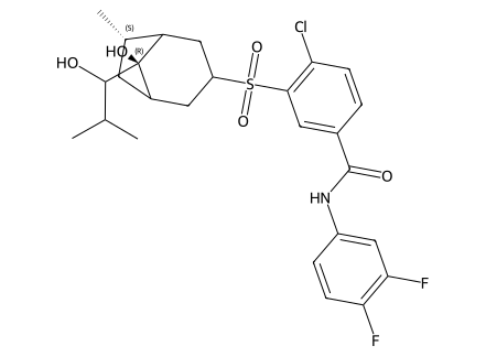 CC(C)C(O)[C@@]1(O)C2CC(S(=O)(=O)c3cc(C(=O)Nc4ccc(F)c(F)c4)ccc3Cl)CC1[C@@H](C)C2